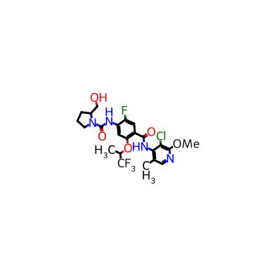 COc1ncc(C)c(NC(=O)c2cc(F)c(NC(=O)N3CCCC3CO)cc2OC(C)C(F)(F)F)c1Cl